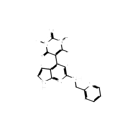 Cc1c(-c2cc(NCc3ccccn3)nc3[nH]ccc23)c(=O)n(C)c(=O)n1C